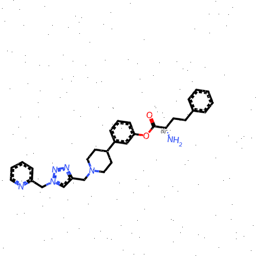 N[C@@H](CCc1ccccc1)C(=O)Oc1cccc(C2CCN(Cc3cn(Cc4ccccn4)nn3)CC2)c1